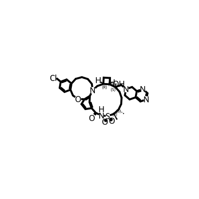 C[C@@H]1[C@@H](C)CCC[C@@](O)(CN2CCc3cncnc3C2)[C@@H]2CC[C@H]2CN2CCCCc3cc(Cl)ccc3COc3ccc(cc32)C(=O)NS1(=O)=O